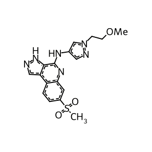 COCCn1cc(Nc2nc3cc(S(C)(=O)=O)ccc3c3cn[nH]c23)cn1